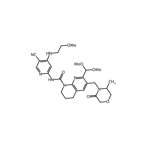 COCCNc1cc(NC(=O)N2CCCc3cc(CN4C(=O)COCC4C)c(C(OC)OC)nc32)ncc1C#N